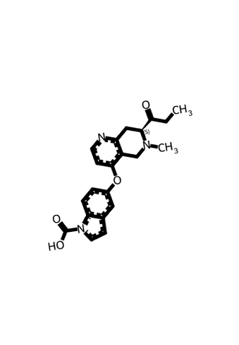 CCC(=O)[C@@H]1Cc2nccc(Oc3ccc4c(ccn4C(=O)O)c3)c2CN1C